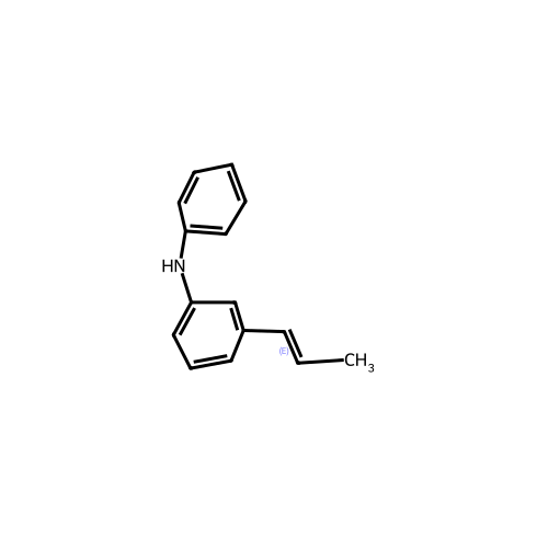 C/C=C/c1cccc(Nc2ccccc2)c1